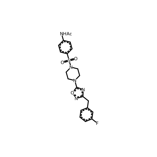 CC(=O)Nc1ccc(S(=O)(=O)N2CCN(c3nc(Cc4cccc(F)c4)no3)CC2)cc1